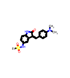 CCS(=O)(=O)Nc1ccc2c(c1)/C(=C/c1ccc(N(C)C)cc1)C(=O)N2